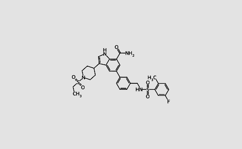 CCS(=O)(=O)N1CCC(c2c[nH]c3c(C(N)=O)cc(-c4cccc(CNS(=O)(=O)c5cc(F)ccc5C)c4)cc23)CC1